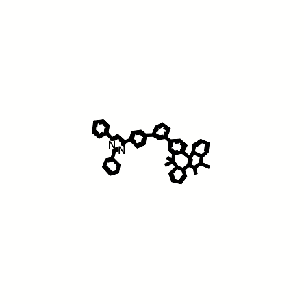 CC1C2=C(c3ccc(-c4cccc(-c5ccc(-c6cc(-c7ccccc7)nc(C7=CC=CCC7)n6)cc5)c4)cc3C(C)(C)C3C=CC=CC23)C2C=CC=CC2C1C